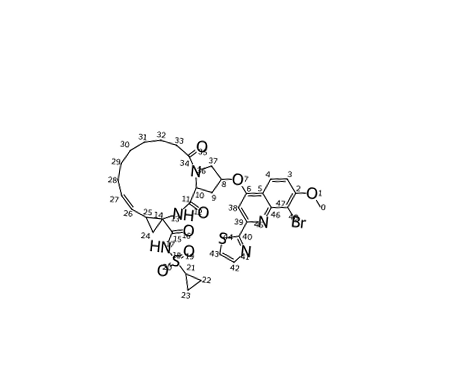 COc1ccc2c(OC3CC4C(=O)NC5(C(=O)NS(=O)(=O)C6CC6)CC5C=CCCCCCCC(=O)N4C3)cc(-c3nccs3)nc2c1Br